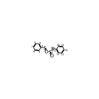 O=S(OSc1ccccc1)Sc1ccccc1